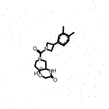 Cc1ccc(C2CN(C(=O)N3CC[C@@H]4OCC(=O)NC4C3)C2)cc1C